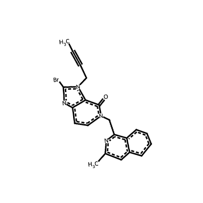 CC#CCn1c(Br)nc2ccn(Cc3nc(C)cc4ccccc34)c(=O)c21